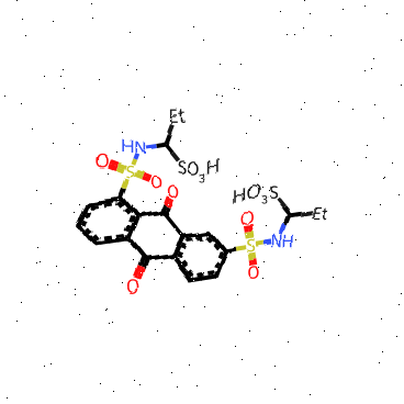 CCC(NS(=O)(=O)c1ccc2c(c1)C(=O)c1c(cccc1S(=O)(=O)NC(CC)S(=O)(=O)O)C2=O)S(=O)(=O)O